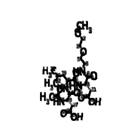 COCCOCCNC(=O)[C@H](CC(=O)O)NC(=O)[C@H](CC(C)C)NC(=O)[C@H](CC(=O)O)NC(C)=O